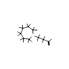 O=C(F)C(F)(F)C(F)(F)N1C(F)(F)C(F)(F)C(F)(F)C(F)(F)C(F)(F)C1(F)F